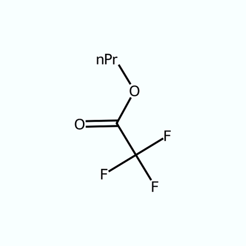 [CH2]CCOC(=O)C(F)(F)F